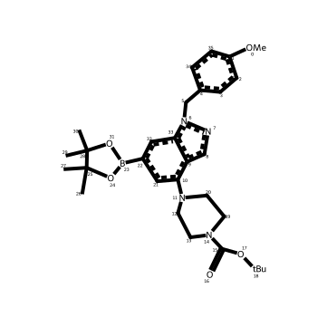 COc1ccc(Cn2ncc3c(N4CCN(C(=O)OC(C)(C)C)CC4)cc(B4OC(C)(C)C(C)(C)O4)cc32)cc1